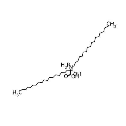 CCCCCCCCCCCCCCCCCCN(P)[C@](CO)(CCCCCCCCCCCCCCCCCC)C(=O)O